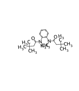 CN(C(=O)CC(C)(C)C)c1ccccc1N(C)C(=O)CC(C)(C)C